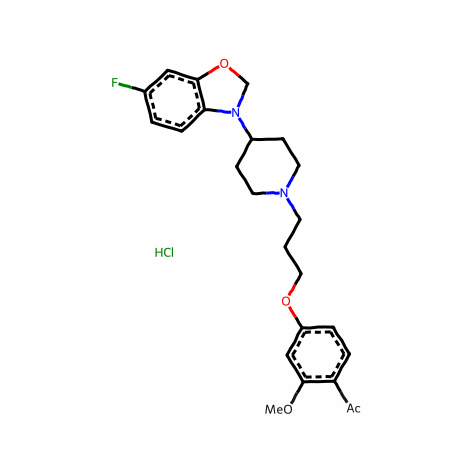 COc1cc(OCCCN2CCC(N3COc4cc(F)ccc43)CC2)ccc1C(C)=O.Cl